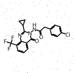 O=C(Cc1ccc(Cl)cc1)Nn1c(C2CC2)nc2c(C(F)(F)F)cccc2c1=O